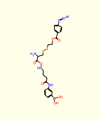 [N-]=[N+]=Nc1ccc(C(=O)OCCSSCC(N)C(=O)ONCCCC(=O)Nc2cccc(B(O)O)c2)cc1